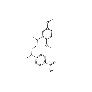 COc1ccc(OC)c(C(C)CCC(C)c2ccc(C(=O)O)cc2)c1